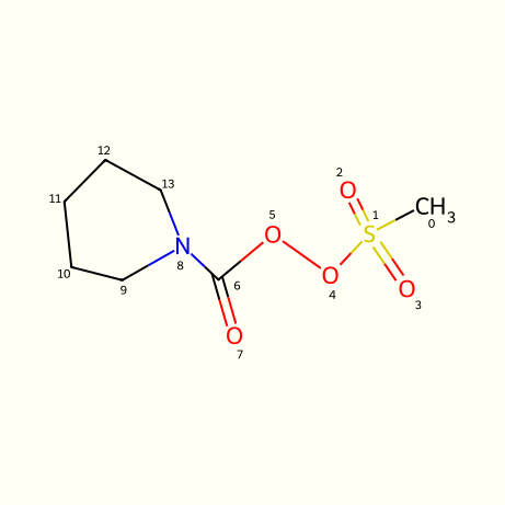 CS(=O)(=O)OOC(=O)N1CCCCC1